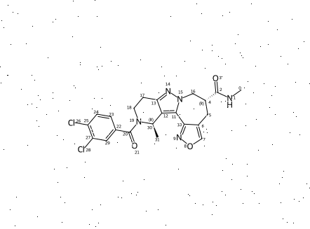 CNC(=O)[C@@H]1Cc2conc2-c2c3c(nn2C1)CCN(C(=O)c1ccc(Cl)c(Cl)c1)[C@@H]3C